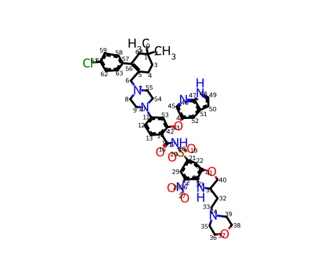 CC1(C)CCC(CN2CCN(c3ccc(C(=O)NS(=O)(=O)c4cc5c(c([N+](=O)[O-])c4)NC(CCN4CCOCC4)CO5)c(Oc4cnc5[nH]ccc5c4)c3)CC2)=C(c2ccc(Cl)cc2)C1